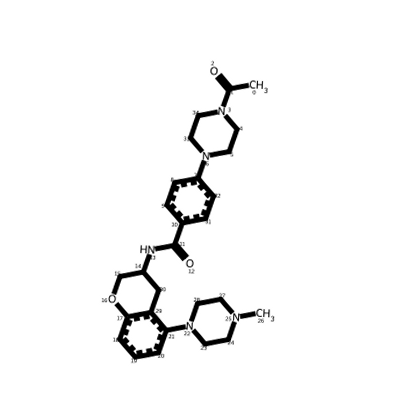 CC(=O)N1CCN(c2ccc(C(=O)NC3COc4cccc(N5CCN(C)CC5)c4C3)cc2)CC1